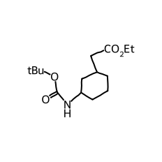 CCOC(=O)CC1CCCC(NC(=O)OC(C)(C)C)C1